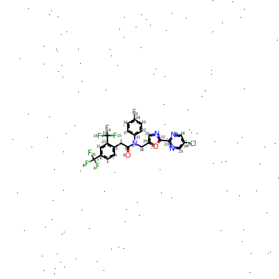 O=C(Cc1ccc(C(F)(F)F)cc1C(F)(F)F)N(Cc1cnc(-c2ncc(Cl)cn2)o1)c1ccc(F)cc1